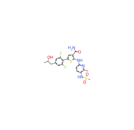 Cc1nc(Nc2sc(-c3c(F)cc(CC(C)O)cc3F)cc2C(N)=O)ccc1NS(C)(=O)=O